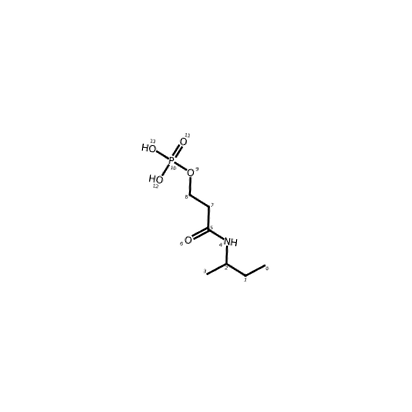 CCC(C)NC(=O)CCOP(=O)(O)O